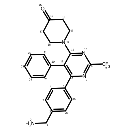 NCc1ccc(-c2nc(C(F)(F)F)nc(N3CCC(=O)CC3)c2-c2ccccc2)cc1